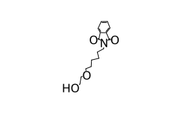 O=C1c2ccccc2C(=O)N1CCCCCCOCCO